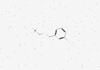 CC(C)(C)COCc1cccc(N)c1